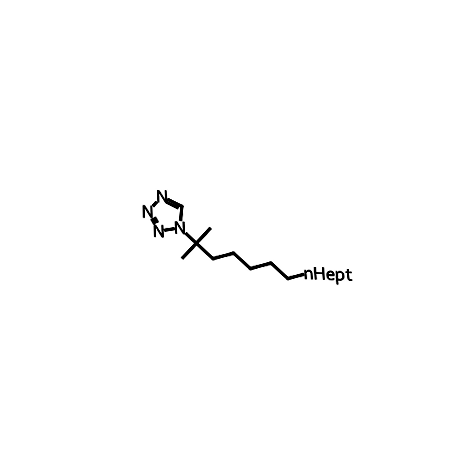 CCCCCCCCCCCCC(C)(C)n1cnnn1